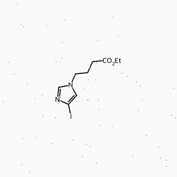 CCOC(=O)CCCn1cnc(I)c1